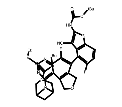 CCSc1nc(N2C3CC2CN(C(=O)OC(C)(C)C)C3)c2c3c(c(-c4c(F)ccc5sc(NC(=O)OC(C)(C)C)c(C#N)c45)c(F)c2n1)COC3